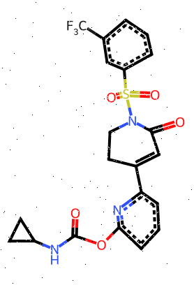 O=C(NC1CC1)Oc1cccc(C2=CC(=O)N(S(=O)(=O)c3cccc(C(F)(F)F)c3)CC2)n1